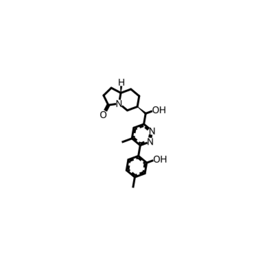 Cc1ccc(-c2nnc(C(O)[C@@H]3CC[C@H]4CCC(=O)N4C3)cc2C)c(O)c1